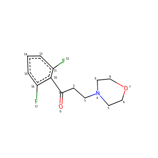 O=C(CCN1CCOCC1)c1c(F)cccc1F